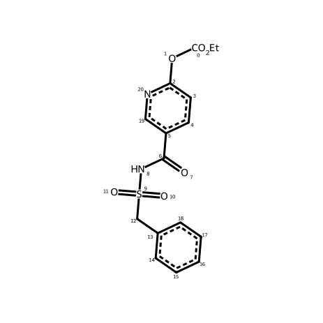 CCOC(=O)Oc1ccc(C(=O)NS(=O)(=O)Cc2ccccc2)cn1